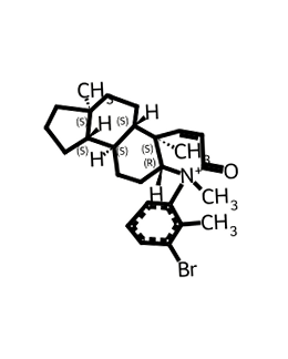 Cc1c(Br)cccc1[N+]1(C)C(=O)C=C[C@@]2(C)[C@H]1CC[C@H]1[C@@H]3CCC[C@@]3(C)CC[C@@H]12